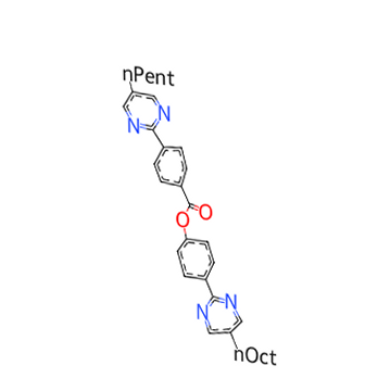 CCCCCCCCc1cnc(-c2ccc(OC(=O)c3ccc(-c4ncc(CCCCC)cn4)cc3)cc2)nc1